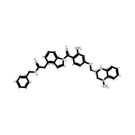 Cc1cc(OC[C@@H]2CN(C)c3ccccc3O2)ccc1C(=O)n1ccc2c(CC(=O)OCc3ccccc3)cccc21